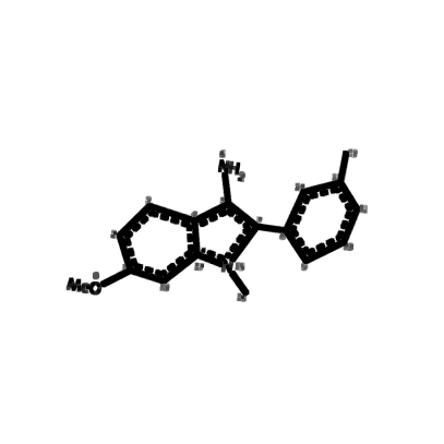 COc1ccc2c(N)c(-c3cccc(C)c3)n(C)c2c1